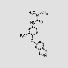 CN(C)C(=O)Nc1ccc(Oc2ccc3sncc3c2)c(C(F)(F)F)c1